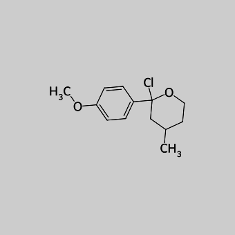 COc1ccc(C2(Cl)CC(C)CCO2)cc1